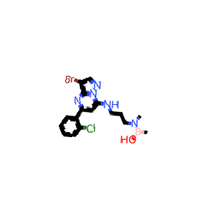 CB(O)N(C)CCCNc1cc(-c2ccccc2Cl)nc2c(Br)cnn12